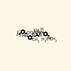 Cc1ccc(NC(=O)c2cccc(C(F)(F)F)c2)cc1N1Cc2cnc(Nc3ccc(CN(C)C)cc3)nc2N(C)C1=O